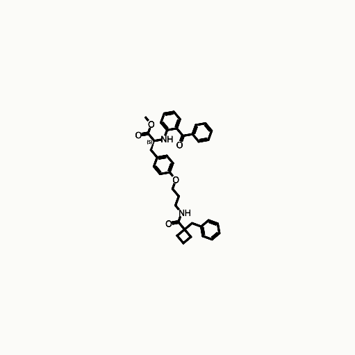 COC(=O)[C@H](Cc1ccc(OCCCNC(=O)C2(Cc3ccccc3)CCC2)cc1)Nc1ccccc1C(=O)c1ccccc1